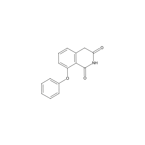 O=C1Cc2cccc(Oc3ccccc3)c2C(=O)N1